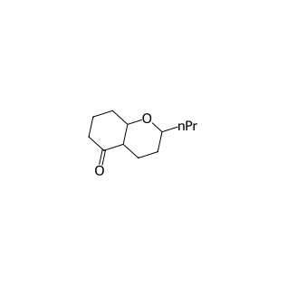 CCCC1CCC2C(=O)CCCC2O1